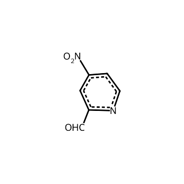 O=Cc1cc([N+](=O)[O-])ccn1